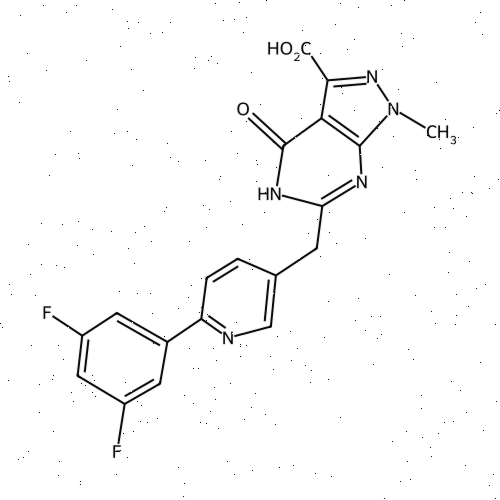 Cn1nc(C(=O)O)c2c(=O)[nH]c(Cc3ccc(-c4cc(F)cc(F)c4)nc3)nc21